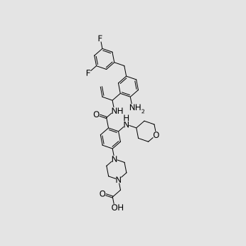 C=CC(NC(=O)c1ccc(N2CCN(CC(=O)O)CC2)cc1NC1CCOCC1)c1cc(Cc2cc(F)cc(F)c2)ccc1N